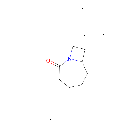 O=C1CCCCC2CCN12